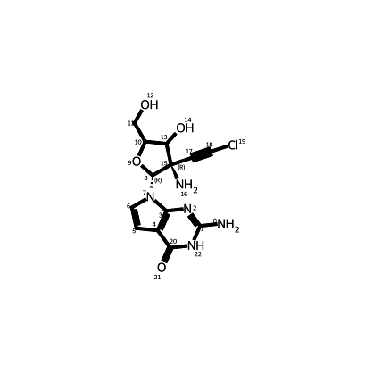 Nc1nc2c(ccn2[C@@H]2OC(CO)C(O)[C@]2(N)C#CCl)c(=O)[nH]1